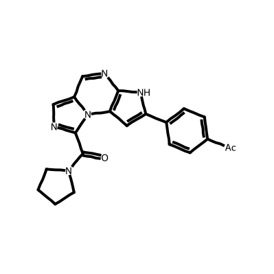 CC(=O)c1ccc(-c2cc3c(ncc4cnc(C(=O)N5CCCC5)n43)[nH]2)cc1